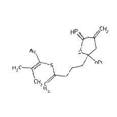 C=C(CCCC1(CCC)CC(=C)C(=P)O1)SC(C(C)=O)=C(C)C